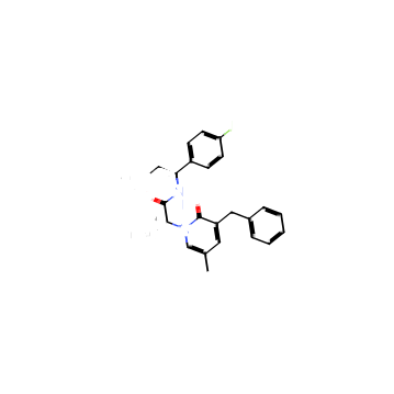 CCCC[C@H](C(=O)N[C@@H](CC(=O)O)c1ccc(F)cc1)n1cc(C)cc(Cc2ccccc2)c1=O